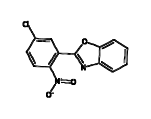 O=[N+]([O-])c1ccc(Cl)cc1-c1nc2ccccc2o1